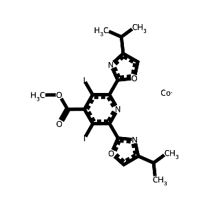 COC(=O)c1c(I)c(-c2nc(C(C)C)co2)nc(-c2nc(C(C)C)co2)c1I.[Co]